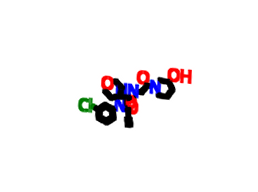 C#CC(=O)N(c1cccc(Cl)c1)C1(C(=O)NCC(=O)N2CCCC(O)C2)CCOCC1